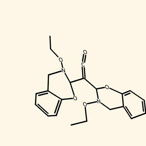 CCON1Cc2ccccc2OC1C(=C=O)C1Oc2ccccc2CN1OCC